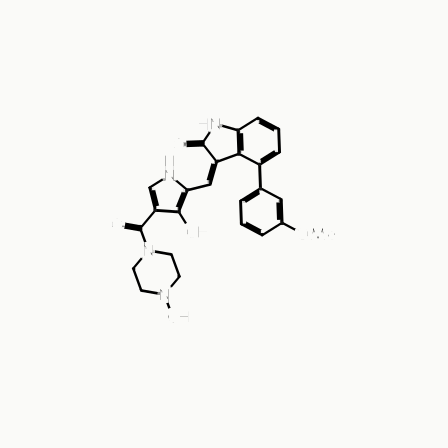 COc1cccc(-c2cccc3c2/C(=C/c2[nH]cc(C(=O)N4CCN(C)CC4)c2C)C(=O)N3)c1